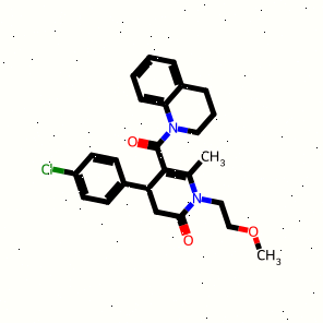 COCCN1C(=O)CC(c2ccc(Cl)cc2)C(C(=O)N2CCCc3ccccc32)=C1C